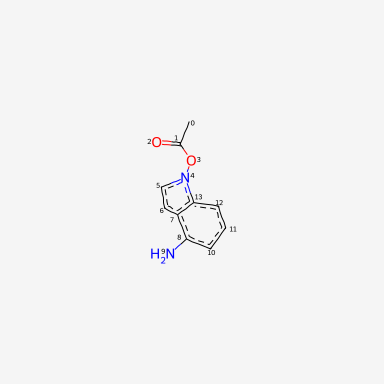 CC(=O)On1ccc2c(N)cccc21